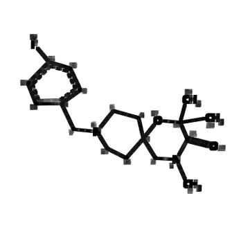 CN1CC2(CCN(Cc3ccc(F)cc3)CC2)OC(C)(C)C1=O